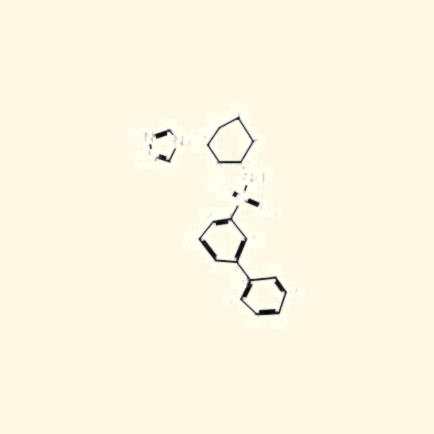 O=S(=O)(N[C@H]1CCC[C@@H](n2cnnc2)C1)c1cccc(-c2ccccc2)c1